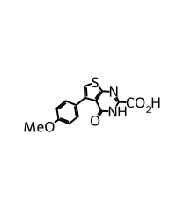 COc1ccc(-c2csc3nc(C(=O)O)[nH]c(=O)c23)cc1